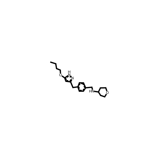 CCCCOc1cc(Cc2ccc(CNC3CCOCC3)cc2)n[nH]1